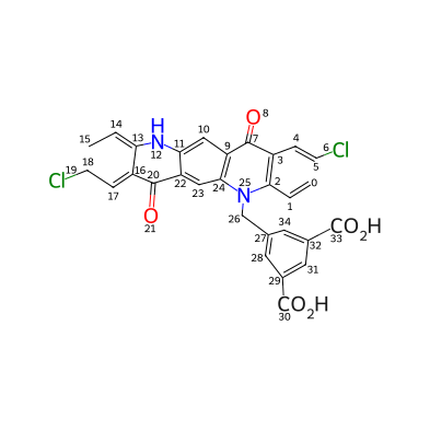 C=Cc1c(/C=C/Cl)c(=O)c2cc3[nH]c(=C/C)/c(=C\CCl)c(=O)c3cc2n1Cc1cc(C(=O)O)cc(C(=O)O)c1